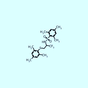 Cc1cc(C)c(SCC(NS(=O)(=O)c2c(C)cc(C)cc2C)C(F)(F)F)c(C)c1